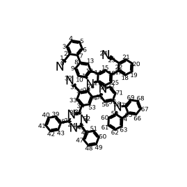 N#Cc1ccccc1-c1ccc2c(c1)c1cc(-c3ccccc3C#N)ccc1n2-c1c(C#N)cc(-c2nc(-c3ccccc3)nc(-c3ccccc3)n2)cc1-c1cc(-n2c3ccccc3c3ccccc32)ccn1